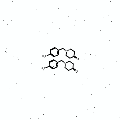 Cc1ccc(CN2CCC(=O)CC2)cc1.Cc1ccc(CN2CCC(=O)CC2)cc1